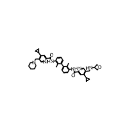 Cc1c(NC(=O)c2cc(C3CC3)c(CNC3COC3)cn2)cccc1-c1cccc(NC(=O)c2cc(C3CC3)c(CN3CCCCC3)cn2)c1C